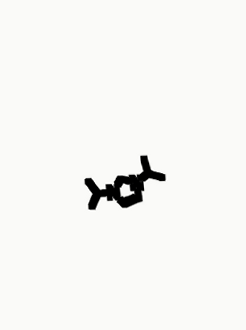 CC(C)N1C=CN(C(C)C)C1